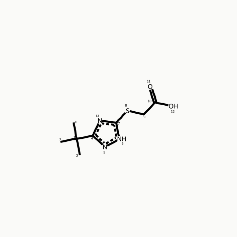 CC(C)(C)c1n[nH]c(SCC(=O)O)n1